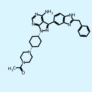 CC(=O)N1CCN([C@H]2CC[C@@H](n3nc(-c4ccc5[nH]c(Cc6ccccc6)nc5c4)c4c(N)ncnc43)CC2)CC1